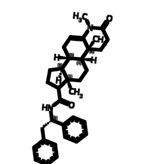 CN1C(=O)CC[C@@]2(C)C1=CC[C@@H]1[C@H]2CC[C@]2(C)C(C(=O)N[C@@H](Cc3ccccc3)c3ccccc3)CC[C@@H]12